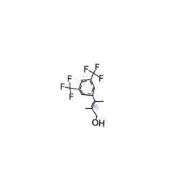 C/C(CO)=C(/C)c1cc(C(F)(F)F)cc(C(F)(F)F)c1